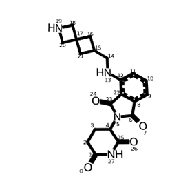 O=C1CCC(N2C(=O)c3cccc(NCC4CC5(CNC5)C4)c3C2=O)C(=O)N1